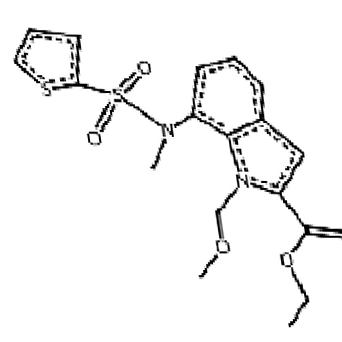 CCOC(=O)c1cc2cccc(N(C)S(=O)(=O)c3cccs3)c2n1COC